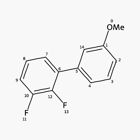 COc1[c]ccc(-c2cccc(F)c2F)c1